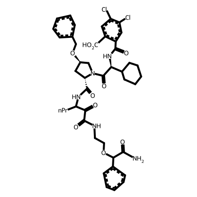 CCCC(NC(=O)[C@@H]1C[C@@H](OCc2ccccc2)CN1C(=O)[C@@H](NC(=O)c1cc(Cl)c(Cl)cc1C(=O)O)C1CCCCC1)C(=O)C(=O)NCCOC(C(N)=O)c1ccccc1